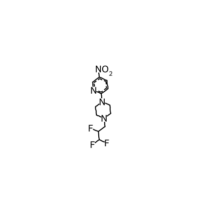 O=[N+]([O-])c1ccc(N2CCN(CC(F)C(F)F)CC2)nc1